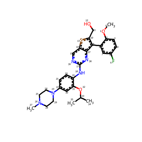 COc1ccc(F)cc1-c1c(CO)sc2cnc(Nc3ccc(N4CCN(C)CC4)cc3OC(C)C)nc12